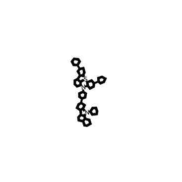 c1ccc(-c2ccc(N(c3ccc(-c4ccc5c6ccc7ccccc7c6n(-c6ccccc6)c5c4)cc3)c3cccc4c3sc3ccc(-c5ccccc5)cc34)cc2)cc1